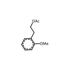 COc1ccccc1CCOC(C)=O